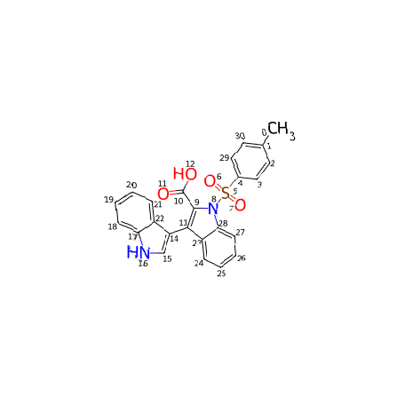 Cc1ccc(S(=O)(=O)n2c(C(=O)O)c(-c3c[nH]c4ccccc34)c3ccccc32)cc1